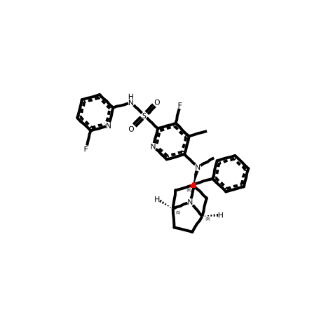 Cc1c(N(C)[C@H]2C[C@H]3CC[C@@H](C2)N3Cc2ccccc2)cnc(S(=O)(=O)Nc2cccc(F)n2)c1F